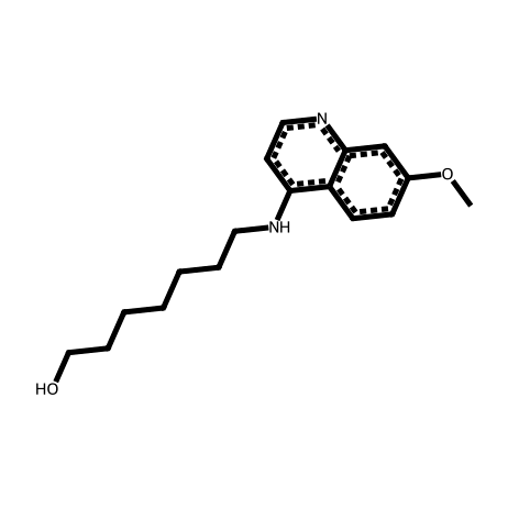 COc1ccc2c(NCCCCCCCO)ccnc2c1